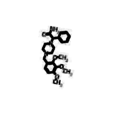 COc1ccc(CN2CCN(C(C(N)=O)c3ccccc3)CC2)c(OC)c1OC